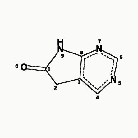 O=C1Cc2cncnc2N1